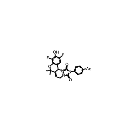 CC(=O)c1ccc(-n2c(=O)n3n(c2=O)C2C(=CC3)C(C)(C)Oc3c2cc(F)c(O)c3F)cc1